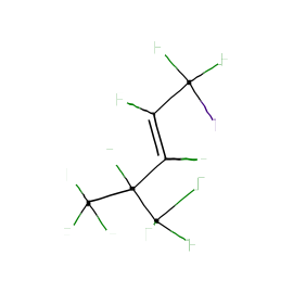 FC(=C(F)C(F)(C(F)(F)F)C(F)(F)F)C(F)(F)I